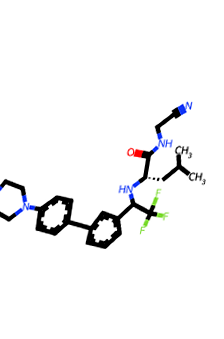 CC(C)C[C@H](NC(c1cccc(-c2ccc(N3CCNCC3)cc2)c1)C(F)(F)F)C(=O)NCC#N